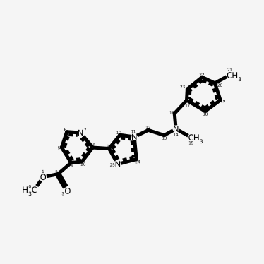 COC(=O)c1ccnc(-c2cn(CCN(C)Cc3ccc(C)cc3)cn2)c1